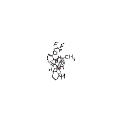 Cc1nsc(N2C[C@H]3CC[C@@H](C2)C3Nc2nc3c(OCC(F)(F)F)cccn3n2)n1